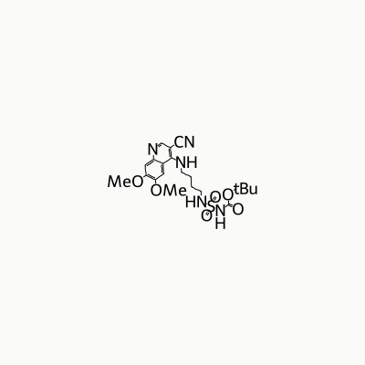 COc1cc2ncc(C#N)c(NCCCCNS(=O)(=O)NC(=O)OC(C)(C)C)c2cc1OC